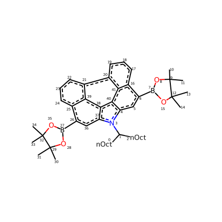 CCCCCCCCC(CCCCCCCC)n1c2cc(B3OC(C)(C)C(C)(C)O3)c3cccc4c5cccc6c(B7OC(C)(C)C(C)(C)O7)cc1c(c65)c2c34